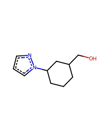 OCC1CCCC(n2cccn2)C1